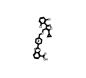 O=C(O)c1cccc2nc(C34CCC(COCc5c(-c6c(Cl)cccc6Cl)noc5C5CC5)(CC3)CC4)sc12